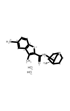 Cc1c(C(=O)N[C@H]2CN3CCC2CC3)sc2ccc(N)cc12.Cl.Cl